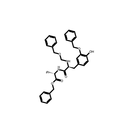 CC(C)[C@H](NC(=O)[C@H](Cc1ccc(O)c(OCc2ccccc2)c1)NCOCc1ccccc1)C(=O)OCc1ccccc1